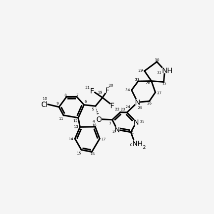 Nc1nc(O[C@H](c2ccc(Cl)cc2-c2ccccc2)C(F)(F)F)cc(N2CCC3(CCNC3)CC2)n1